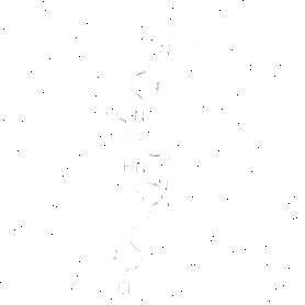 O=C(Nc1nnc(CCc2ccc(Cl)cc2)s1)C1CC(=O)N(c2ccc(CN3CCCCC3)cc2)C1